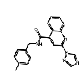 Cc1ccc(CNC(=O)c2cc(-n3cncn3)nc3ccccc23)cc1